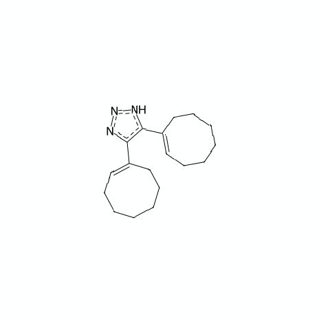 C1=C(c2nn[nH]c2C2=CCCCCCC2)CCCCCC1